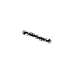 C(CSCC1CO1)OCOCCSSCCOCOCCSCC1CO1